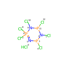 Cl.ClN1P(Cl)N=P(Cl)(Cl)N(Cl)P1Cl